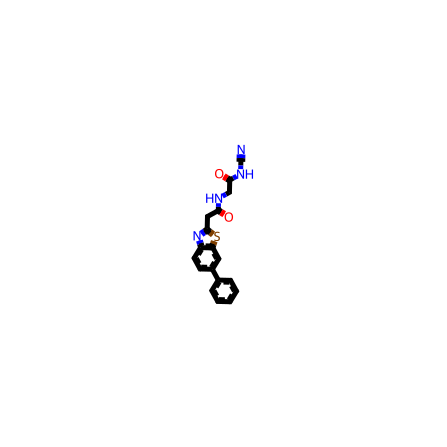 N#CNC(=O)CNC(=O)Cc1nc2ccc(-c3ccccc3)cc2s1